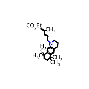 CCOC(=O)/C=C(C)/C=C/CN1CCCc2cc3c(cc21)C(C)(C)CCC3(C)C